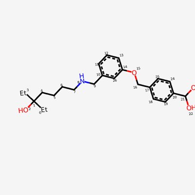 CCC(O)(CC)CCCCNCc1cccc(OCc2ccc(C(O)O)cc2)c1